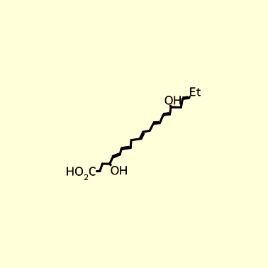 CCC=CCC(O)C=CC=CCC=CCC=CC=CC(O)CCC(=O)O